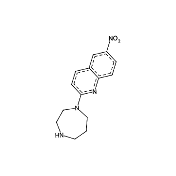 O=[N+]([O-])c1ccc2nc(N3CCCNCC3)ccc2c1